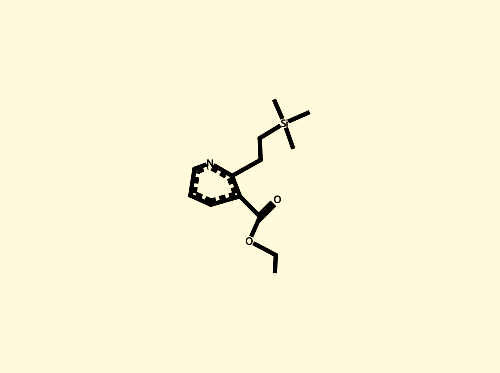 CCOC(=O)c1cccnc1CC[Si](C)(C)C